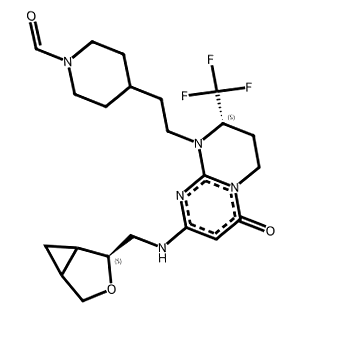 O=CN1CCC(CCN2c3nc(NC[C@H]4OCC5CC54)cc(=O)n3CC[C@H]2C(F)(F)F)CC1